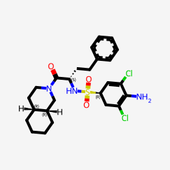 NC1=C(Cl)C[C@@H](S(=O)(=O)N[C@@H](CCc2ccccc2)C(=O)N2CC[C@H]3CCCC[C@H]3C2)C=C1Cl